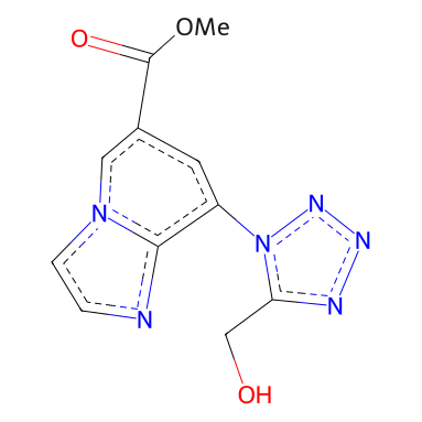 COC(=O)c1cc(-n2nnnc2CO)c2nccn2c1